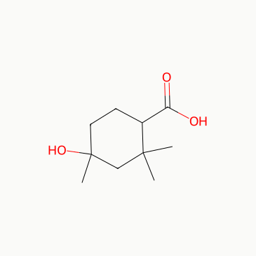 CC1(O)CCC(C(=O)O)C(C)(C)C1